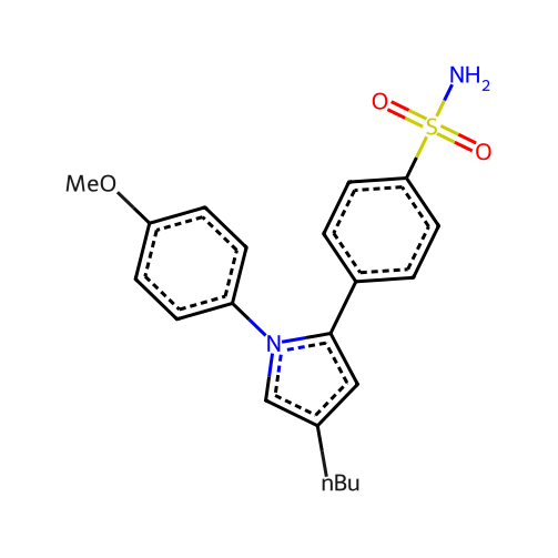 CCCCc1cc(-c2ccc(S(N)(=O)=O)cc2)n(-c2ccc(OC)cc2)c1